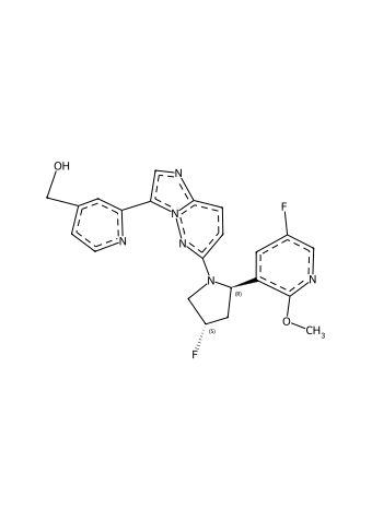 COc1ncc(F)cc1[C@H]1C[C@H](F)CN1c1ccc2ncc(-c3cc(CO)ccn3)n2n1